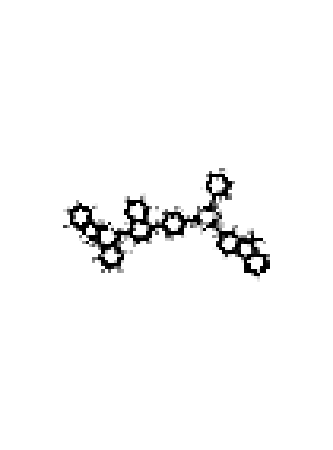 CC1(C)c2ccccc2-c2ccc(-c3nc(-c4ccccc4)nc(-c4ccc(-c5ccc(-c6nc7c8ccccc8oc7c7ccccc67)c6ccccc56)cc4)n3)cc21